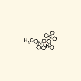 Cc1ccc2c(c1)c1ccccc1n2-c1ccccc1-c1ccccc1-n1c2ccccc2c2cc([Si](c3ccccc3)(c3ccccc3)c3ccccc3)ccc21